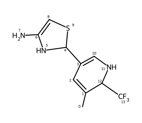 CC1=CC(C2NC(N)=CS2)=CNC1C(F)(F)F